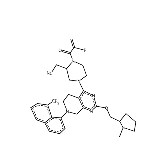 C=C(F)C(=O)N1CCN(c2nc(OCC3CCCN3C)nc3c2CCN(c2cccc4cccc(C(F)(F)F)c24)C3)CC1CC#N